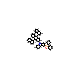 O=P1(c2ccccc2)c2ccccc2-c2cc3c(cc21)c1ccccc1n3-c1ccc2c(-c3cccc4ccccc34)c3ccccc3c(-c3cccc4ccccc34)c2c1